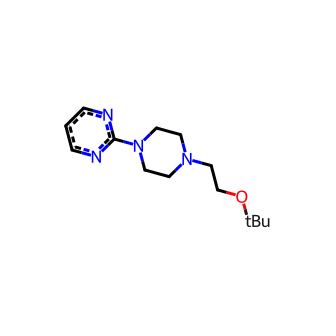 CC(C)(C)OCCN1CCN(c2ncccn2)CC1